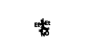 CCC(C)(CC)c1cnoc1